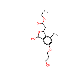 CCOC(=O)CC1OB(O)c2cc(OCCCO)cc(C)c21